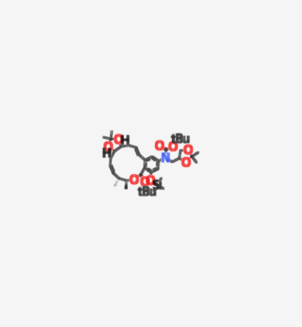 C[C@@H]1/C=C\C[C@H]2OC(C)(C)O[C@H]2C/C=C/c2cc(N(CC3COC(C)(C)O3)C(=O)OC(C)(C)C)cc(O[Si](C)(C)C(C)(C)C)c2C(=O)O[C@H]1C